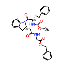 CC(C)(C)OC(=O)N[C@@H](CCc1ccccc1)C(=O)N1c2ccccc2C[C@H]1CC(=O)NCC(=O)OCc1ccccc1